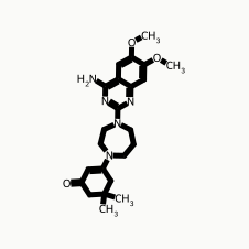 COc1cc2nc(N3CCCN(C4=CC(=O)CC(C)(C)C4)CC3)nc(N)c2cc1OC